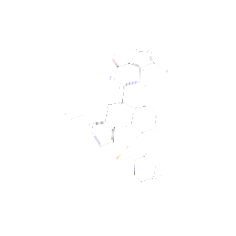 CCCc1n[nH]c2c(=O)[nH]c(C(Cc3cc(S(=O)(=O)N4CCN(CC)CC4)cnc3OCC)N3CCOCC3)nc12